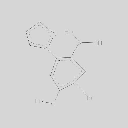 CCOc1cc(-n2cccn2)c(B(O)O)cc1Br